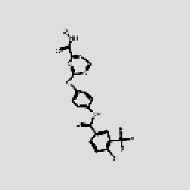 O=C(Nc1ccc(Oc2ncnc(C(=O)NO)n2)cc1)c1ccc(Cl)c(C(F)(F)F)c1